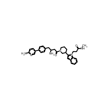 CNC(=O)CCn1c(C2CCCN(C(=O)CC(N)Cc3ccc(-c4ccc(N)nc4)cc3)C2)cc2ccccc21